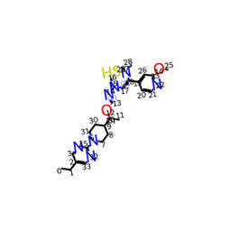 CCc1cnc(N2CCC([C@H](C)O/C=N/N(C)/C=C(/c3ccnc(OC)c3)N(C)S)CC2)nc1